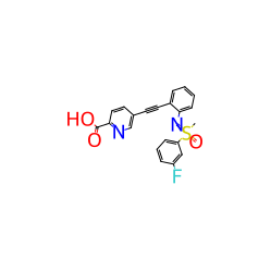 CS(=O)(=Nc1ccccc1C#Cc1ccc(C(=O)O)nc1)c1cccc(F)c1